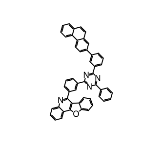 c1ccc(-c2nc(-c3cccc(-c4ccc5c(ccc6ccccc65)c4)c3)nc(-c3cccc(-c4nc5ccccc5c5oc6ccccc6c45)c3)n2)cc1